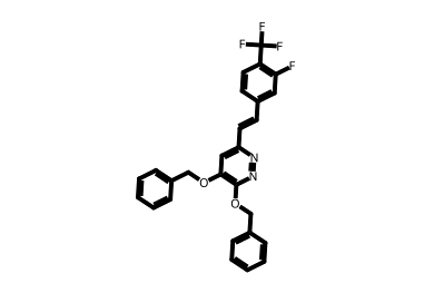 Fc1cc(C=Cc2cc(OCc3ccccc3)c(OCc3ccccc3)nn2)ccc1C(F)(F)F